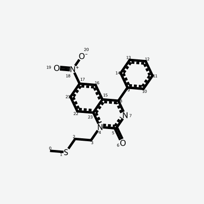 CSCCn1c(=O)nc(-c2ccccc2)c2cc([N+](=O)[O-])ccc21